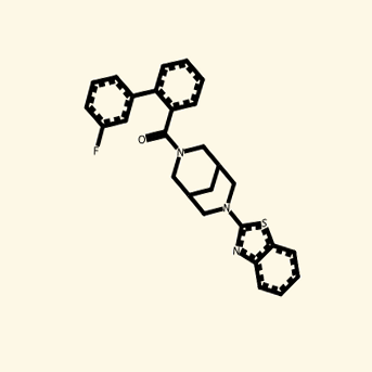 O=C(c1ccccc1-c1cccc(F)c1)N1CC2CC(C1)CN(c1nc3ccccc3s1)C2